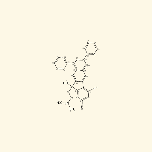 CN(C)CCC(O)(c1cc(F)cc(F)c1)c1ccc2nc(-c3cccnc3)cc(-c3ccccc3)c2c1